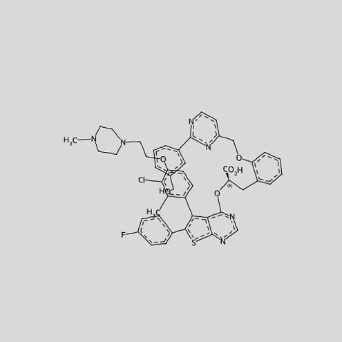 Cc1c(-c2c(-c3ccc(F)cc3)sc3ncnc(O[C@H](Cc4ccccc4OCc4ccnc(-c5cccc(CO)c5)n4)C(=O)O)c23)ccc(OCCN2CCN(C)CC2)c1Cl